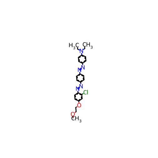 CCN(CC)c1ccc(N=Nc2ccc(N=Nc3ccc(OCCOC)cc3Cl)cc2)cc1